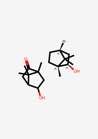 CC1(C)[C@@H]2CC[C@@]1(C)[C@H](O)C2.CC12CC(O)C(CC1=O)C2(C)C